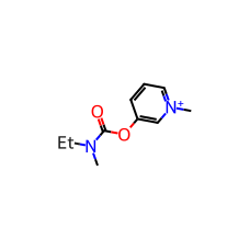 CCN(C)C(=O)Oc1ccc[n+](C)c1